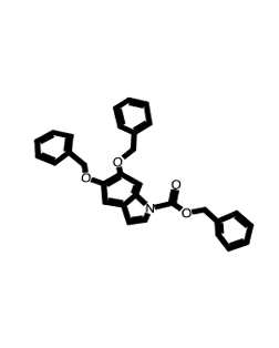 O=C(OCc1ccccc1)n1ccc2cc(OCc3ccccc3)c(OCc3ccccc3)cc21